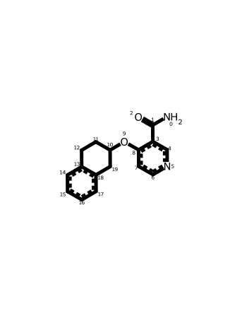 NC(=O)c1cnccc1OC1CCc2ccccc2C1